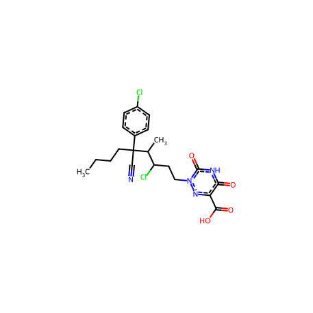 CCCCC(C#N)(c1ccc(Cl)cc1)C(C)C(Cl)CCn1nc(C(=O)O)c(=O)[nH]c1=O